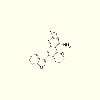 Nc1nc(N)c2c3c(c(-c4coc5ccccc45)cc2n1)CCCO3